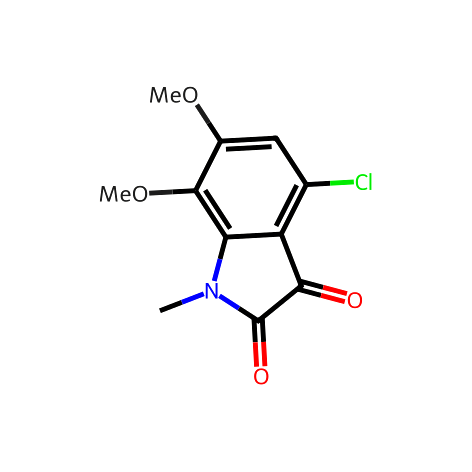 COc1cc(Cl)c2c(c1OC)N(C)C(=O)C2=O